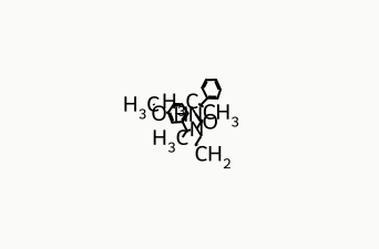 C=CCN(C(=O)NC(C)(C)c1ccccc1)C(C)c1cccc(OC)c1